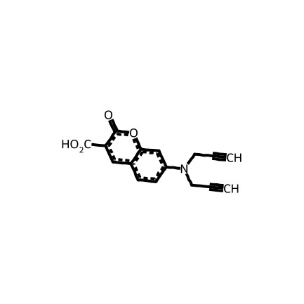 C#CCN(CC#C)c1ccc2cc(C(=O)O)c(=O)oc2c1